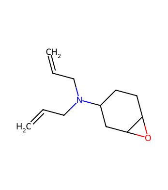 C=CCN(CC=C)C1CCC2OC2C1